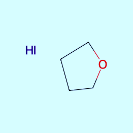 C1CCOC1.I